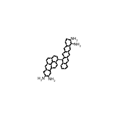 Nc1cc2cc3ccc4ccc(-c5c6ccccc6cc6cc7cc8c(N)c(N)ccc8cc7cc56)c5ccc(c2cc1N)c3c45